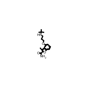 Cc1c(C(N)=O)oc2cccc(OCCCNC(C)(C)C)c12